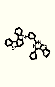 c1ccc(-c2nc(-c3cccc(-n4c5ccccc5c5c6c(ccc54)sc4ccccc46)c3)nc3sc4ccccc4c23)cc1